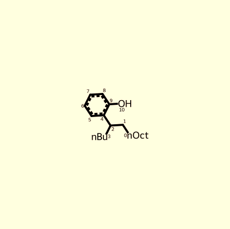 CCCCCCCCCC(CCCC)c1ccccc1O